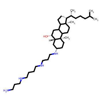 CC(C)CCC[C@@H](C)[C@H]1CCC2C3C[C@@H](O)[C@H]4C[C@@H](NCCCNCCCCNCCCN)CC[C@]4(C)C3CC[C@@]21C